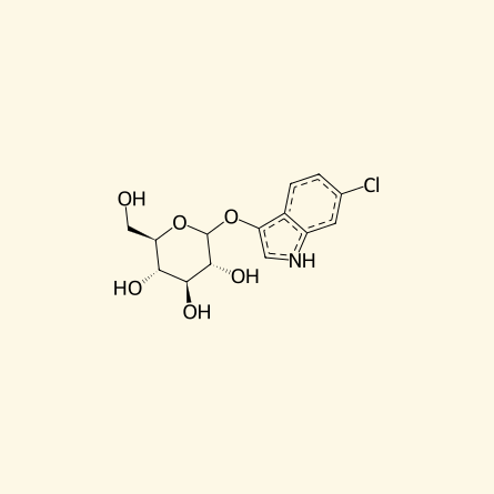 OC[C@H]1OC(Oc2c[nH]c3cc(Cl)ccc23)[C@H](O)[C@@H](O)[C@@H]1O